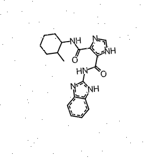 CC1CCCCC1NC(=O)c1nc[nH]c1C(=O)Nc1nc2ccccc2[nH]1